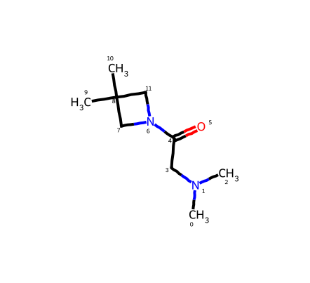 CN(C)CC(=O)N1CC(C)(C)C1